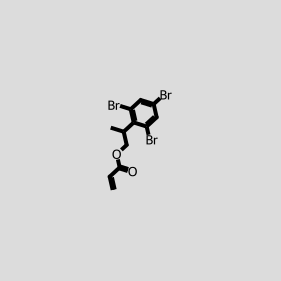 C=CC(=O)OCC(C)c1c(Br)cc(Br)cc1Br